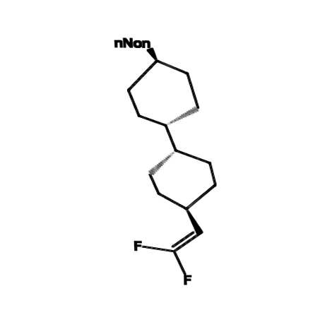 CCCCCCCCC[C@H]1CC[C@H]([C@H]2CC[C@H](C=C(F)F)CC2)CC1